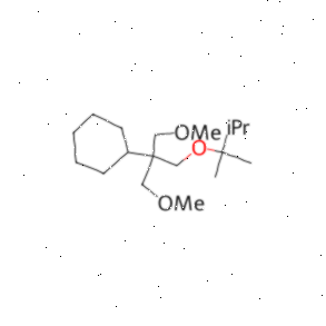 COCC(COC)(COC(C)(C)C(C)C)C1CCCCC1